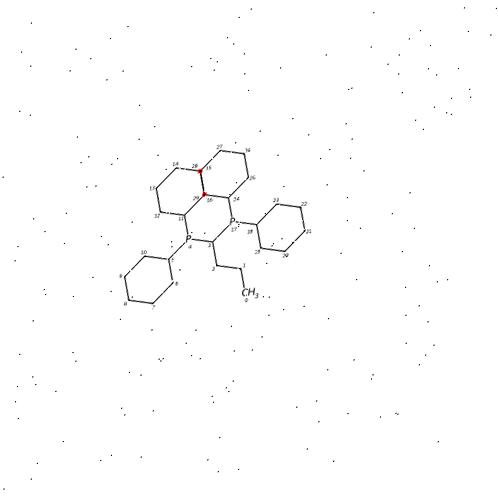 CCCC(P(C1CCCCC1)C1CCCCC1)P(C1CCCCC1)C1CCCCC1